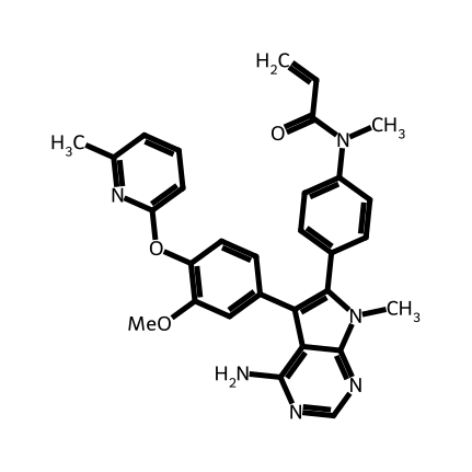 C=CC(=O)N(C)c1ccc(-c2c(-c3ccc(Oc4cccc(C)n4)c(OC)c3)c3c(N)ncnc3n2C)cc1